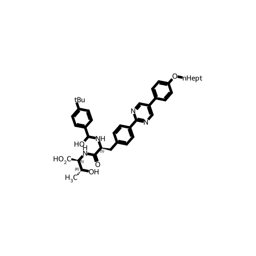 CCCCCCCOc1ccc(-c2cnc(-c3ccc(C[C@H](NC(O)c4ccc(C(C)(C)C)cc4)C(=O)N[C@H](C(=O)O)[C@@H](C)O)cc3)nc2)cc1